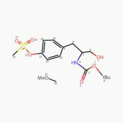 CC(C)(C)OC(=O)NC(CO)Cc1ccc(OS(C)(=O)=O)cc1.COC